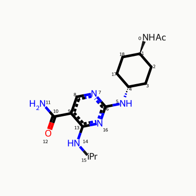 CC(=O)N[C@H]1CC[C@H](Nc2ncc(C(N)=O)c(NC(C)C)n2)CC1